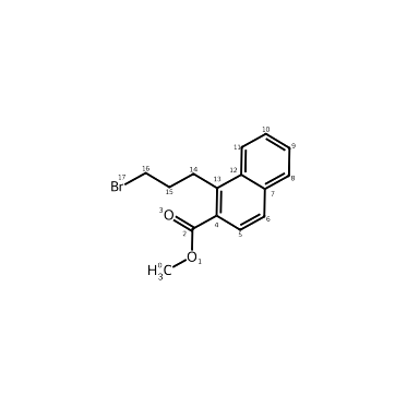 COC(=O)c1ccc2ccccc2c1CCCBr